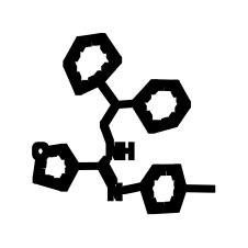 Cc1ccc(/N=C(\NCC(c2ccccc2)c2ccccc2)c2ccoc2)cc1